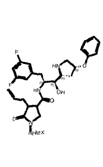 C=CCC1C(=O)N(CCCCCC)CC1C(=O)N[C@@H](Cc1cc(F)cc(F)c1)[C@H](O)[C@H]1C[C@@H](Oc2ccccc2)CN1